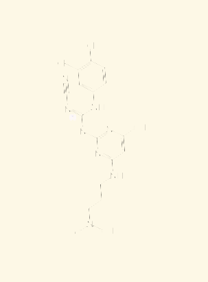 Cc1cc(NCCCN(C)C)nc(N/C(=N/C#N)Nc2ccc(Cl)c(Cl)c2)n1